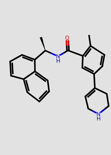 Cc1ccc(C2=CCNCC2)cc1C(=O)N[C@H](C)c1cccc2ccccc12